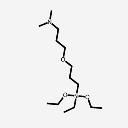 CCO[Si](CC)(CCCOCCCN(C)C)OCC